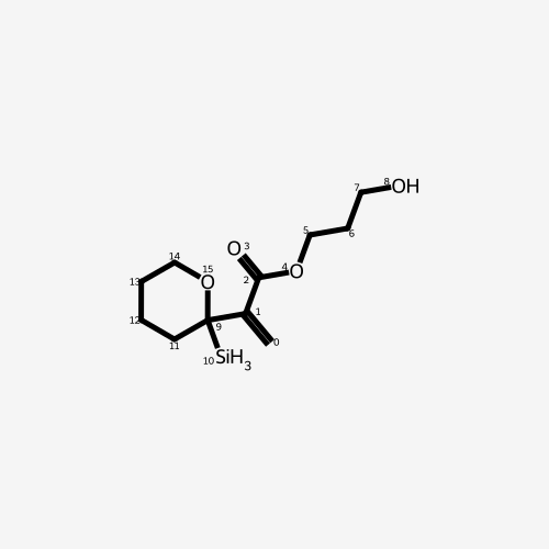 C=C(C(=O)OCCCO)C1([SiH3])CCCCO1